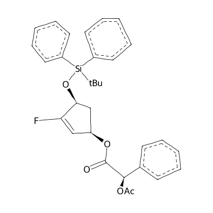 CC(=O)O[C@@H](C(=O)O[C@H]1C=C(F)[C@@H](O[Si](c2ccccc2)(c2ccccc2)C(C)(C)C)C1)c1ccccc1